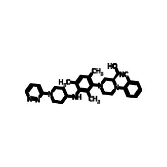 Cc1cc(C)c(N2CCN(c3ccccc3C#N)[C@H](CO)C2)c(C)c1NC1CCN(c2cccnn2)CC1